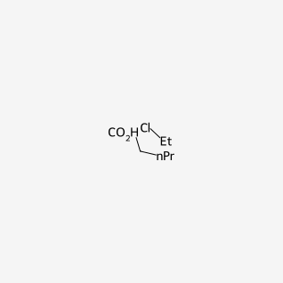 CCCCC(=O)O.CCCl